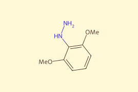 COc1cccc(OC)c1NN